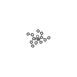 O=C1N(c2cc(-c3cccc(-c4ccccc4)c3)cc(-c3cccc(-c4ccccc4)c3)c2)C(c2ccccc2)C(c2ccccc2)N1c1cc(-c2cccc(-c3ccccc3)c2)cc(-c2cccc(-c3ccccc3)c2)c1